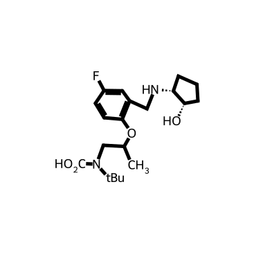 CC(CN(C(=O)O)C(C)(C)C)Oc1ccc(F)cc1CN[C@@H]1CCC[C@@H]1O